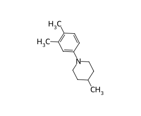 Cc1ccc(N2CCC(C)CC2)cc1C